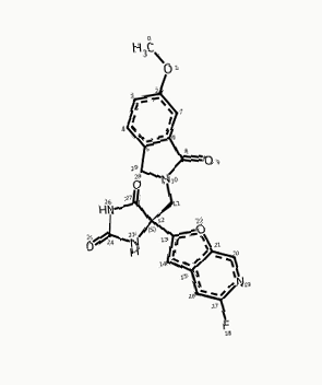 COc1ccc2c(c1)C(=O)N(C[C@@]1(c3cc4cc(F)ncc4o3)NC(=O)NC1=O)C2